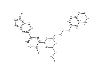 COCC(F)CN(CCCCc1ccc2c(n1)NCCC2)CCC(NC(=O)c1ccc2c(cnn2C)c1)C(=O)O